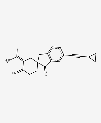 C/C(P)=C1\CC2(CCC1=N)Cc1ccc(C#CC3CC3)cc1C2=O